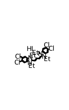 CCN1C(=CC=CC2N(CC)c3cc(Cl)c(Cl)cc3N2CC)N(CC)c2cc(Cl)c(Cl)cc21.I